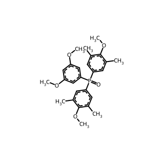 COc1cc(OC)cc(P(=O)(c2cc(C)c(OC)c(C)c2)c2cc(C)c(OC)c(C)c2)c1